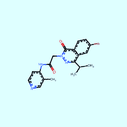 Cc1cnccc1NC(=O)Cn1nc(C(C)C)c2cc(Br)ccc2c1=O